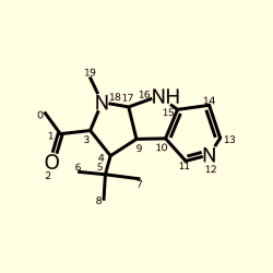 CC(=O)C1C(C(C)(C)C)C2c3cnccc3NC2N1C